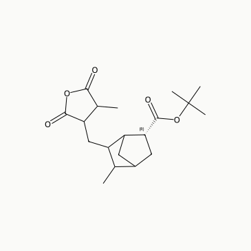 CC1C(=O)OC(=O)C1CC1C(C)C2CC1[C@H](C(=O)OC(C)(C)C)C2